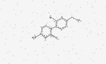 CCc1ccc(-n2ccc(N)nc2=O)c(Br)c1